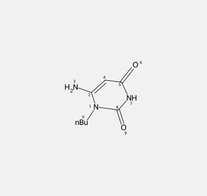 CCCCn1c(N)cc(=O)[nH]c1=O